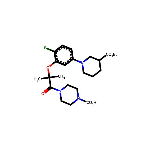 CCOC(=O)C1CCCN(c2ccc(F)c(OC(C)(C)C(=O)N3CCN(C(=O)O)CC3)c2)C1